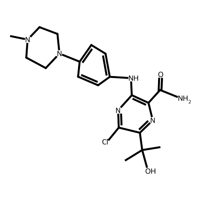 CN1CCN(c2ccc(Nc3nc(Cl)c(C(C)(C)O)nc3C(N)=O)cc2)CC1